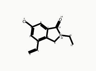 C=Cc1cc(Cl)cc2c1CN(CC)C2=O